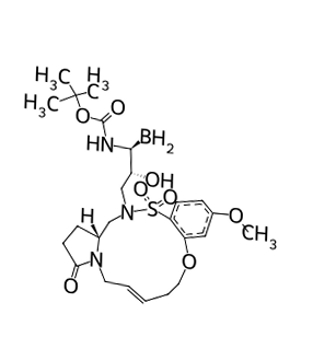 B[C@H](NC(=O)OC(C)(C)C)[C@H](O)CN1C[C@H]2CCC(=O)N2C/C=C/CCOc2cc(OC)ccc2S1(=O)=O